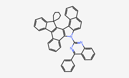 c1ccc(-c2nc(-n3c4ccc5ccccc5c4c4c5c(c6ccccc6c43)-c3ccccc3C53CCCCC3)nc3ccccc23)cc1